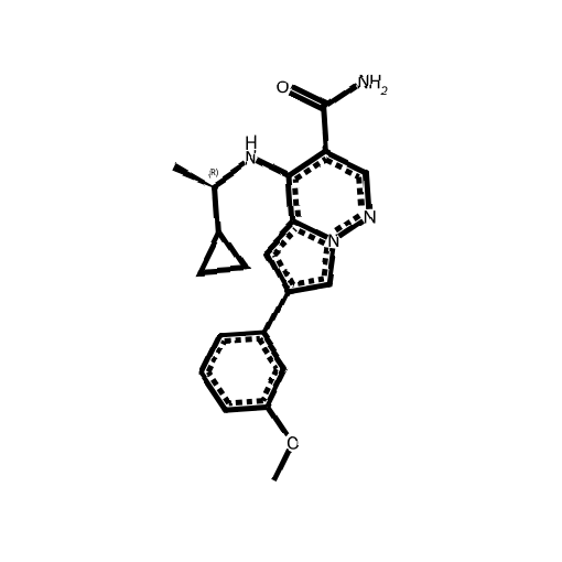 COc1cccc(-c2cc3c(N[C@H](C)C4CC4)c(C(N)=O)cnn3c2)c1